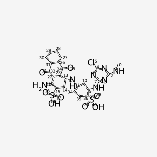 CNc1nc(Cl)nc(Nc2cc(Nc3cc(S(=O)(=O)O)c(N)c4c3C(=O)c3ccccc3C4=O)ccc2S(=O)(=O)O)n1